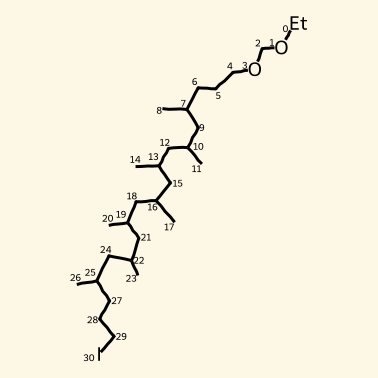 CCOCOCCCC(C)CC(C)CC(C)CC(C)CC(C)CC(C)CC(C)CCCI